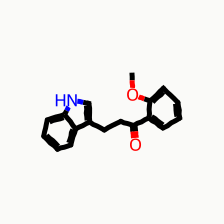 COc1ccccc1C(=O)CCc1c[nH]c2ccccc12